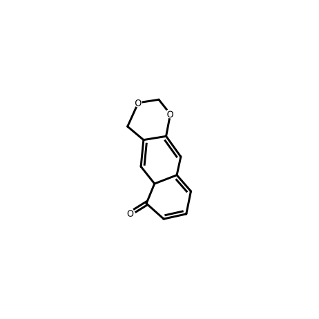 O=C1C=CC=C2C=C3OCOCC3=CC12